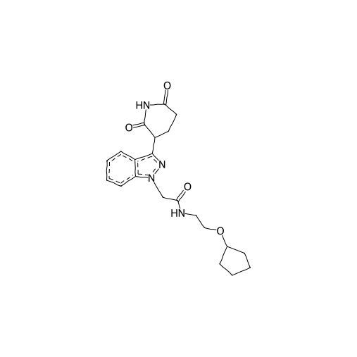 O=C(Cn1nc(C2CCC(=O)NC2=O)c2ccccc21)NCCOC1CCCC1